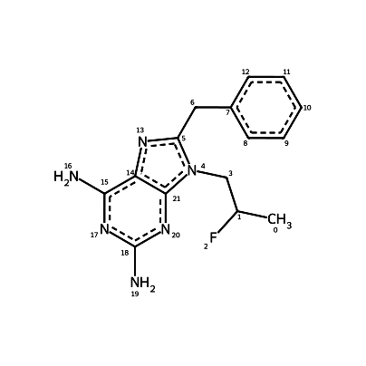 CC(F)Cn1c(Cc2ccccc2)nc2c(N)nc(N)nc21